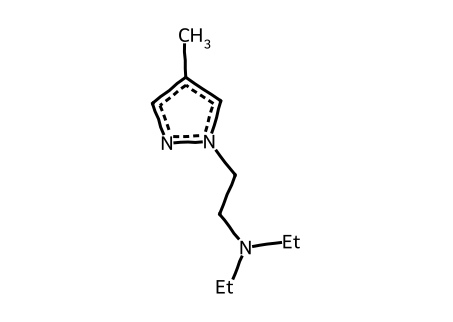 CCN(CC)CCn1cc(C)cn1